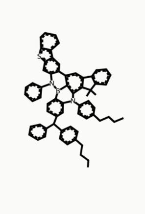 CCCCc1ccc(C(c2ccccc2)c2ccc3c(c2)N(c2ccc(CCCC)cc2)c2c4c(cc5c2C(C)(C)c2ccccc2-5)-c2cc5c(cc2N(c2ccccc2)B34)sc2ccccc25)cc1